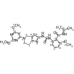 COc1cc(N2CCc3nc(NC(=O)Nc4cccc(OC)c4C(=O)NC(C)C)sc3C2)nc(OC)n1